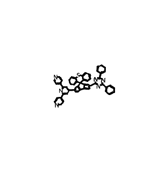 C1=C2Sc3ccccc3C3(C2=CCC1)c1cc(-c2cc(-c4ccncc4)nc(-c4ccncc4)c2)ccc1-c1ccc(-c2nc(-c4ccccc4)nc(-c4ccccc4)n2)cc13